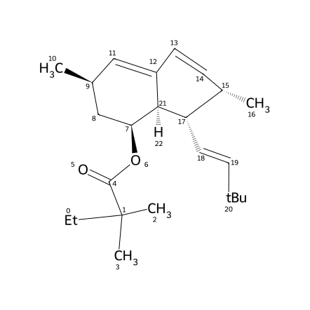 CCC(C)(C)C(=O)O[C@H]1C[C@@H](C)C=C2C=C[C@H](C)[C@H](/C=C/C(C)(C)C)[C@H]21